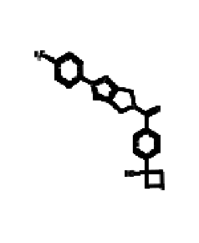 O=C(c1ccc(C2(O)COC2)cc1)N1Cc2cn(-c3ccc(C(F)(F)F)cc3)nc2C1